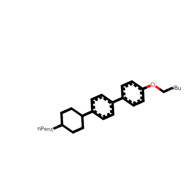 CCCCCC1CCC(c2ccc(-c3ccc(OCC(C)CC)cc3)cc2)CC1